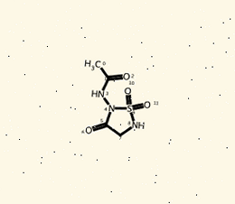 CC(=O)NN1C(=O)CNS1(=O)=O